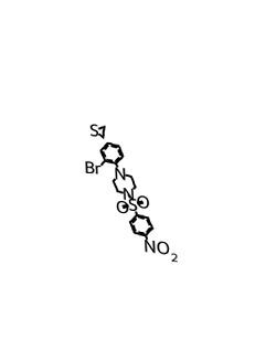 C1CS1.O=[N+]([O-])c1ccc(S(=O)(=O)N2CCN(c3ccccc3Br)CC2)cc1